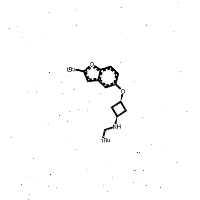 CC(C)(C)CN[C@H]1C[C@@H](Oc2ccc3oc(C(C)(C)C)cc3c2)C1